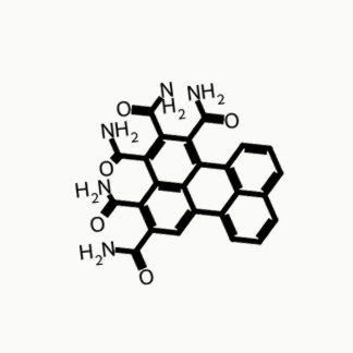 NC(=O)c1cc2c3cccc4cccc(c5c(C(N)=O)c(C(N)=O)c(C(N)=O)c(c1C(N)=O)c25)c43